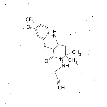 C#CCNN1C(=O)C2=C(CC1(C)C)Nc1ccc(OC(F)(F)F)cc1S2